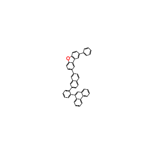 c1ccc(-c2ccc3oc4ccc(-c5ccc6ccc(-c7ccccc7-c7cc8ccccc8c8ccccc78)cc6c5)cc4c3c2)cc1